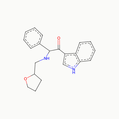 O=C(c1c[nH]c2ccccc12)C(NCC1CCCO1)c1ccccc1